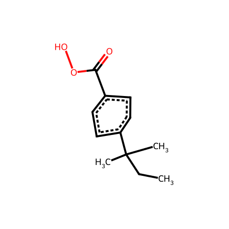 CCC(C)(C)c1ccc(C(=O)OO)cc1